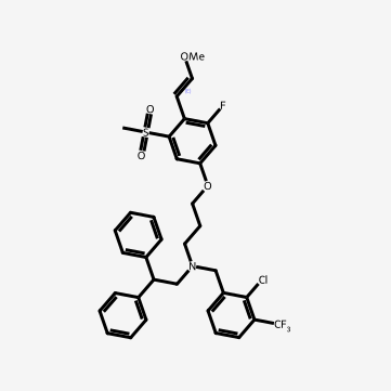 CO/C=C/c1c(F)cc(OCCCN(Cc2cccc(C(F)(F)F)c2Cl)CC(c2ccccc2)c2ccccc2)cc1S(C)(=O)=O